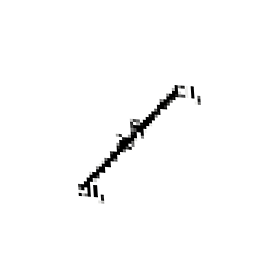 CCCCCCCCCCCCCCCCCC(=O)OCCCOC(=O)CCCCCCCCCCCCCCC